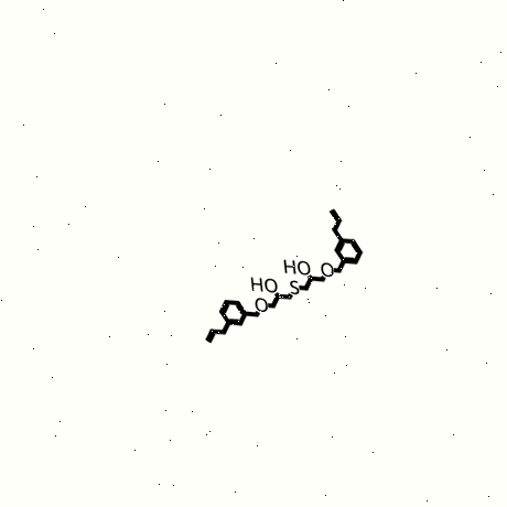 C=CCc1cccc(COCC(O)CSCC(O)COCc2cccc(CC=C)c2)c1